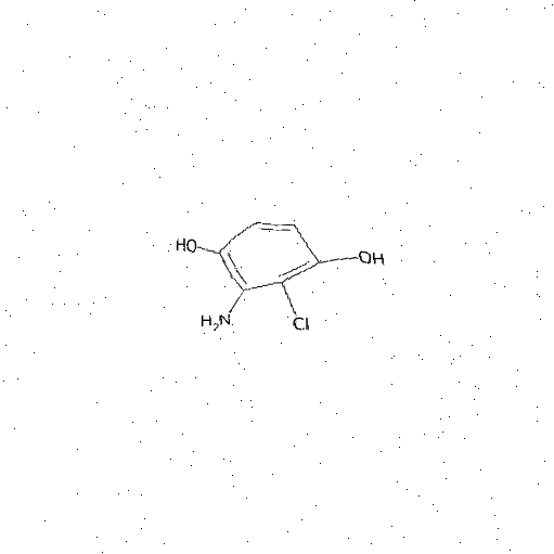 Nc1c(O)ccc(O)c1Cl